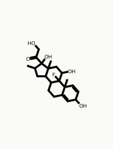 CC1CC2C3CCC4=CC(O)C=CC4(C)C3(F)C(O)CC2(C)C1(O)C(=O)CO